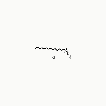 CCCCCCCCCCCCCC[N+](C)(C)CCOC.[Cl-]